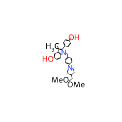 COC(CC1CCN(c2ccc(Cn3c(-c4ccc(O)cc4)c(C)c4cc(O)ccc43)cc2)CC1)OC